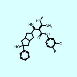 CN/C(N)=C(\C(=N)C1CC2CC(O)(c3ccccc3)CC2C1)C(=O)Nc1ccc(F)c(Cl)c1